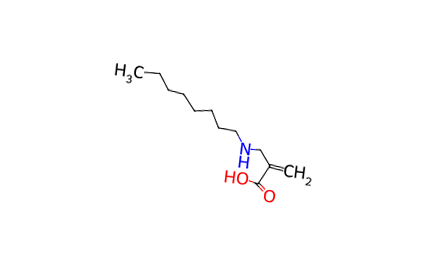 C=C(CNCCCCCCCC)C(=O)O